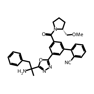 COC[C@H]1CCCN1C(=O)c1cc(-c2nnc(C(C)(N)Cc3ccccc3)o2)cc(-c2ccccc2C#N)c1